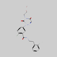 COCCn1c(=O)cnn(-c2ccc(Cl)c(C(=O)NCCc3ccccc3Cl)c2)c1=O